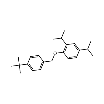 CC(C)c1ccc(OCc2ccc(C(C)(C)C)cc2)c(C(C)C)c1